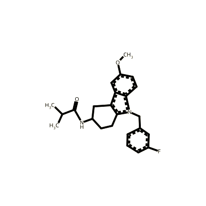 COc1ccc2c(c1)c1c(n2Cc2cccc(F)c2)CCC(NC(=O)C(C)C)C1